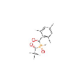 Cc1cc(C)c(C(=O)P(C)(=O)C(=O)C(C)(C)C)c(C)c1